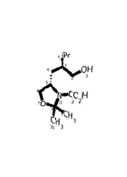 CC(C)[C@@H](CO)C[C@H]1COC(C)(C)N1C(=O)O